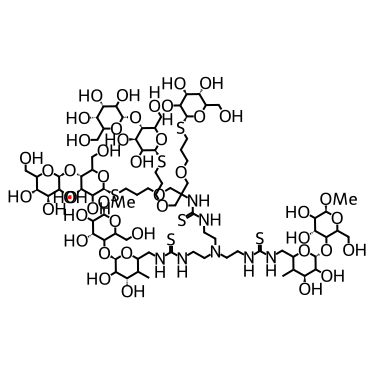 CO[C@H]1OC(CO)C(O[C@H]2OC(CNC(=S)NCCN(CCNC(=S)NCC3O[C@H](OC4C(CO)O[C@H](OC)C(O)[C@H]4O)C(O)[C@@H](O)C3C)CCNC(=S)NC(COCCCS[C@@H]3OC(CO)[C@@H](O)[C@H](O)C3O)(COCCCS[C@@H]3OC(CO)[C@@H](O[C@@H]4OC(CO)[C@H](O)[C@H](O)C4O)[C@H](O)C3O)COCCCS[C@@H]3OC(CO)[C@@H](O[C@@H]4OC(CO)[C@H](O)[C@H](O)C4O)[C@H](O)C3O)C(C)[C@H](O)C2O)[C@H](O)C1O